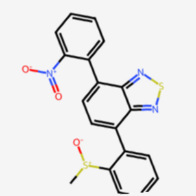 C[S+]([O-])c1ccccc1-c1ccc(-c2ccccc2[N+](=O)[O-])c2nsnc12